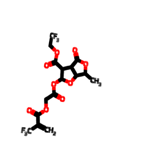 C=C(C(=O)OCC(=O)OC1OC2C(C)OC(=O)C2C1C(=O)OCC(F)(F)F)C(F)(F)F